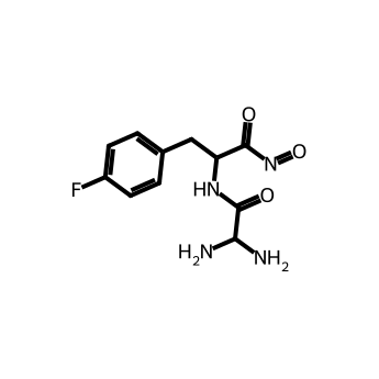 NC(N)C(=O)NC(Cc1ccc(F)cc1)C(=O)N=O